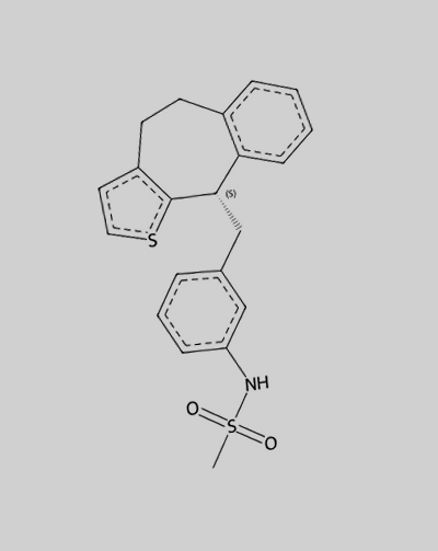 CS(=O)(=O)Nc1cccc(C[C@H]2c3ccccc3CCc3ccsc32)c1